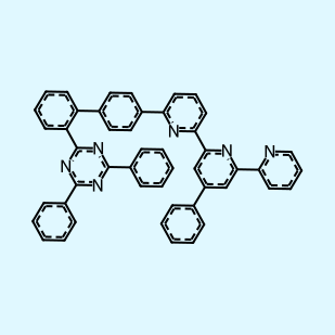 c1ccc(-c2cc(-c3ccccn3)nc(-c3cccc(-c4ccc(-c5ccccc5-c5nc(-c6ccccc6)nc(-c6ccccc6)n5)cc4)n3)c2)cc1